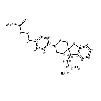 COC(=O)CCSc1cnc(N2CCC3(CC2)Cc2ccccc2[C@H]3N[S@+]([O-])C(C)(C)C)nn1